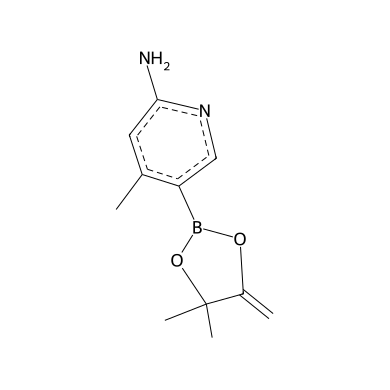 C=C1OB(c2cnc(N)cc2C)OC1(C)C